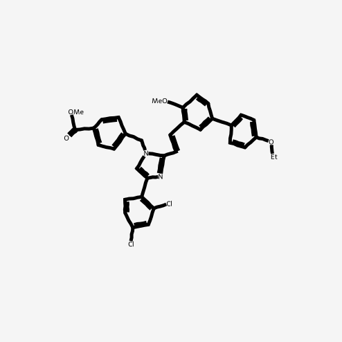 CCOc1ccc(-c2ccc(OC)c(C=Cc3nc(-c4ccc(Cl)cc4Cl)cn3Cc3ccc(C(=O)OC)cc3)c2)cc1